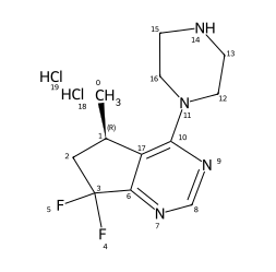 C[C@@H]1CC(F)(F)c2ncnc(N3CCNCC3)c21.Cl.Cl